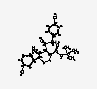 CC(C)(C)OC(=O)N1CCc2c([nH]c3ccc(Cl)cc23)C1C(=O)Nc1ccc(Cl)cc1